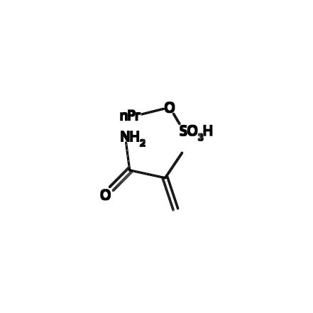 C=C(C)C(N)=O.CCCOS(=O)(=O)O